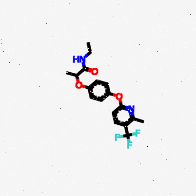 CCNC(=O)C(C)Oc1ccc(Oc2ccc(C(F)(F)F)c(C)n2)cc1